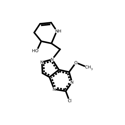 COc1nc(Cl)nc2cnn(CC3NC=CCC3O)c12